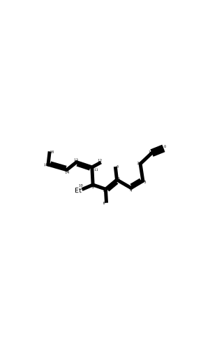 C#CC/C=C\C(C)=C(/C)C(CC)/C(C)=C\C=C/C